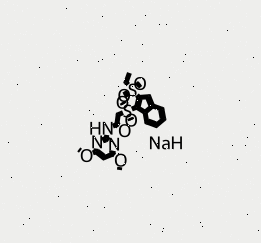 CCS(=O)(=O)C1=C(S(=O)(=O)CC(=O)Nc2nc(OC)cc(OC)n2)C2C=CC=CC2=C1.[NaH]